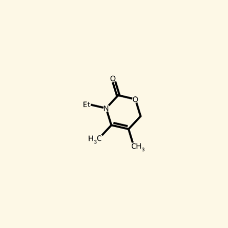 CCN1C(=O)OCC(C)=C1C